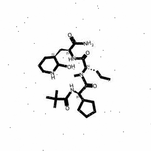 CCC[C@@H](C(=O)N[C@@H](C[C@@H]1CCCNC1O)C(N)=O)N(C)C(=O)[C@H](NC(=O)C(C)(C)C)C1CCCC1